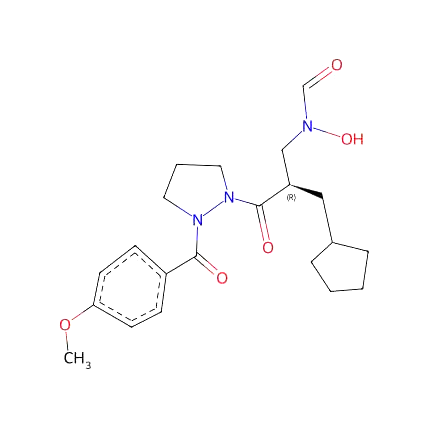 COc1ccc(C(=O)N2CCCN2C(=O)[C@H](CC2CCCC2)CN(O)C=O)cc1